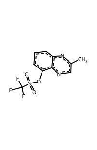 Cc1cnc2c(OS(=O)(=O)C(F)(F)F)cccc2n1